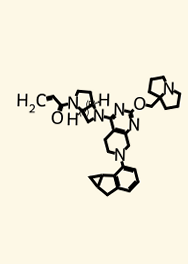 C=CC(=O)N1CC[C@@H]2[C@H]1CN2c1nc(OCC23CCCN2CCC3)nc2c1CCN(c1cccc3c1C1CC1C3)C2